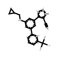 N#Cc1[nH]nnc1-c1cc(OCC2CC2)cc(-c2cccc(C(F)(F)F)n2)c1